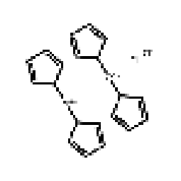 C1=C[CH]([Zr+2][CH]2C=CC=C2)C=C1.C1=C[CH]([Zr+2][CH]2C=CC=C2)C=C1.[Cl-].[Cl-]